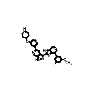 COc1cc(F)cc(-c2cncc3[nH]c(-c4n[nH]c5cnc(-c6cncc(OC7CCNCC7)c6)cc45)nc23)c1